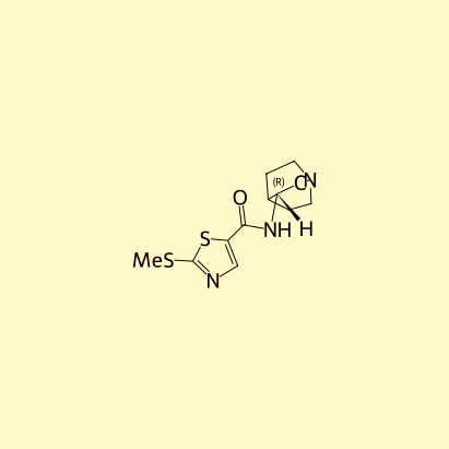 CSc1ncc(C(=O)N[C@H]2CN3CCC2CC3)s1